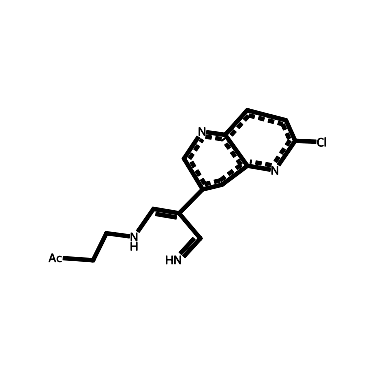 CC(=O)CCN/C=C(\C=N)c1cnc2ccc(Cl)nc2c1